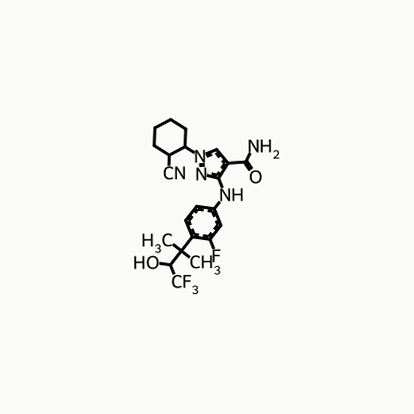 CC(C)(c1ccc(Nc2nn(C3CCCCC3C#N)cc2C(N)=O)cc1F)C(O)C(F)(F)F